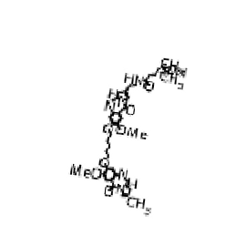 COc1cc2c(cc1OCCCCCOc1cc3c(cc1OC)C(=O)N1C=C(CCNC(=O)CCC[Si](C)(C)O)C[C@H]1C=N3)N=C[C@@H]1CC(C)=CN1C2=O